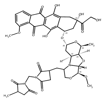 COc1cccc2c1C(=O)c1c(O)c3c(c(O)c1C2=O)C[C@@](O)(C(=O)CO)C[C@@H]3O[C@H]1C[C@H]2[C@H](O[C@@H]3[C@@H](OC)OCC(CC4CC(=O)N(CN5C(=O)CC(C)C5=O)C4=O)N32)[C@H](C)O1